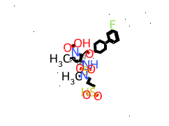 C[C@@H]1C[C@H](NS(=O)(=O)N(C)CCC[SH](=O)=O)[C@H](COC2CCC(c3cccc(F)c3)CC2)N1C(=O)O